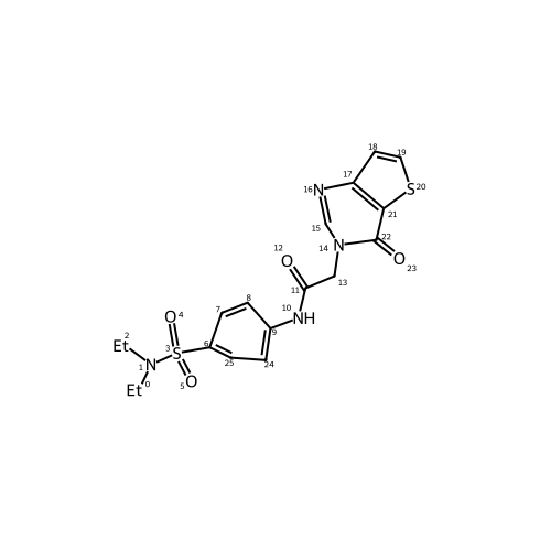 CCN(CC)S(=O)(=O)c1ccc(NC(=O)Cn2cnc3ccsc3c2=O)cc1